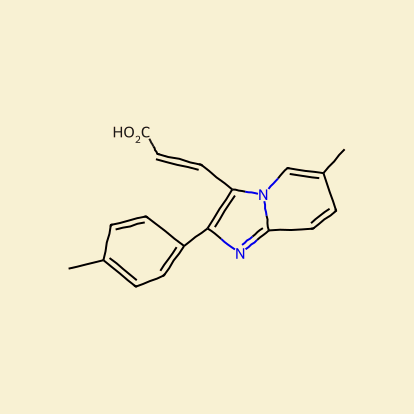 Cc1ccc(-c2nc3ccc(C)cn3c2/C=C/C(=O)O)cc1